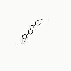 CCN1CCC(c2ccc3cc(-c4ccc5nn(C)cc5c4)ccc3n2)CC1